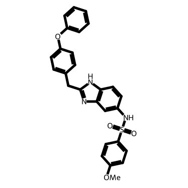 COc1ccc(S(=O)(=O)Nc2ccc3[nH]c(Cc4ccc(Oc5ccccc5)cc4)nc3c2)cc1